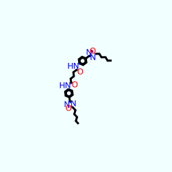 CCCCCc1nc(-c2ccc(NC(=O)CCCC(=O)Nc3ccc(-c4noc(CCCCC)n4)cc3)cc2)no1